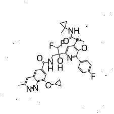 Cc1cc2cc(C(=O)NCC(O)(c3cc4c(c(-c5ccc(F)cc5)n3)OC[C@]4(C)C(=O)NC3(C)CC3)C(F)F)cc(OC3CC3)c2nn1